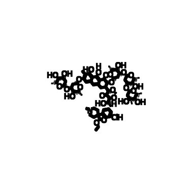 CCOC(=O)C1(c2ccccc2)CCN(C)CC1.CO[C@H](C(=O)[C@@H](O)[C@@H](C)O)C1Cc2cc3cc(O[C@H]4C[C@@H](O[C@H]5C[C@@H](O)[C@H](O)[C@@H](C)O5)[C@@H](O)[C@@H](C)O4)c(C)c(O)c3c(O)c2C(=O)[C@H]1O[C@H]1C[C@@H](O[C@H]2C[C@@H](O[C@H]3C[C@](C)(O)[C@H](O)[C@@H](C)O3)[C@H](O)[C@@H](C)O2)[C@H](O)[C@@H](C)O1.Cl